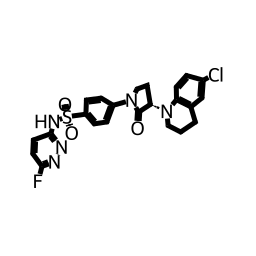 O=C1[C@@H](N2CCCc3cc(Cl)ccc32)CCN1c1ccc(S(=O)(=O)Nc2ccc(F)nn2)cc1